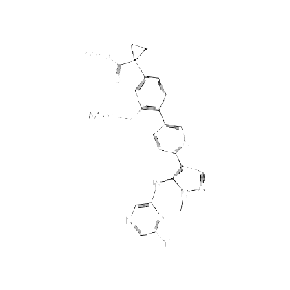 COCc1cc(C2(C(=O)OC)CC2)ccc1-c1ccc(-c2cnn(C)c2Nc2cncc(C(C)C)n2)nc1